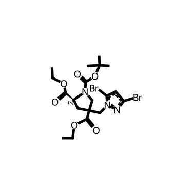 CCOC(=O)[C@@H]1CC(Cn2nc(Br)cc2Br)(C(=O)OCC)CN1C(=O)OC(C)(C)C